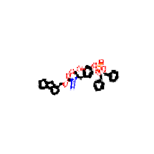 O=C(NC(Cc1ccc(OP(=O)(OCc2ccccc2)OCc2ccccc2)cc1)C(=O)O)OCc1cccc2c1Cc1ccccc1-2